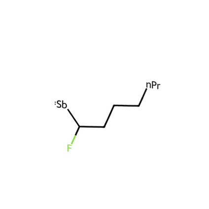 CCCCCC[CH](F)[Sb]